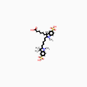 CN1\C(=C/C=C/C=C/C2=[N+](C)c3ccc(S(=O)(=O)O)cc3C2(C)CCCCCC(=O)O)C(C)(C)c2cc(S(=O)(=O)O)ccc21